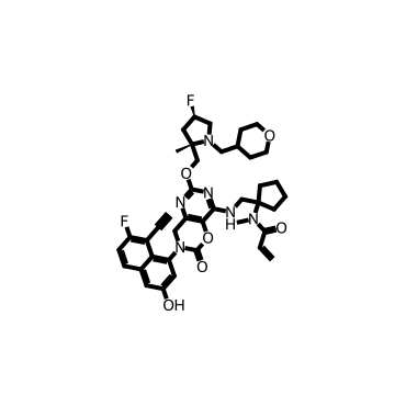 C#Cc1c(F)ccc2cc(O)cc(N3Cc4nc(OC[C@]5(C)C[C@@H](F)CN5CC5CCOCC5)nc(NCC5(N(C)C(=O)C=C)CCCC5)c4OC3=O)c12